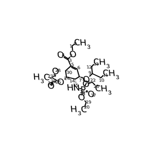 CCOC(=O)C1=C[C@@H](OC(CC)CC)[C@H](NP(=O)(OCC)OCC)[C@H](OS(C)(=O)=O)C1